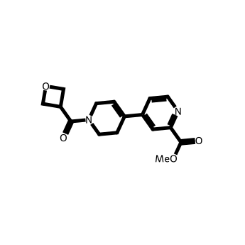 COC(=O)c1cc(C2=CCN(C(=O)C3COC3)CC2)ccn1